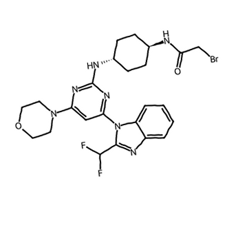 O=C(CBr)N[C@H]1CC[C@H](Nc2nc(N3CCOCC3)cc(-n3c(C(F)F)nc4ccccc43)n2)CC1